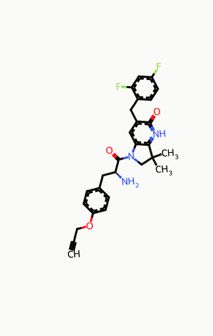 C#CCOc1ccc(C[C@H](N)C(=O)N2CC(C)(C)c3[nH]c(=O)c(Cc4ccc(F)cc4F)cc32)cc1